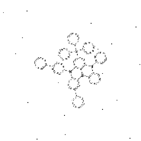 c1ccc(-c2ccc(N3c4ccc(-c5ccccc5)cc4B4c5ccccc5N(c5ccccc5)c5cc([Si](c6ccccc6)(c6ccccc6)c6ccccc6)cc3c54)cc2)cc1